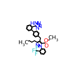 CCCCc1nn(-c2ccccc2C(F)(F)F)c(C(=O)OCC)c1Cc1ccc(-c2ccccc2-c2nnn[nH]2)cc1